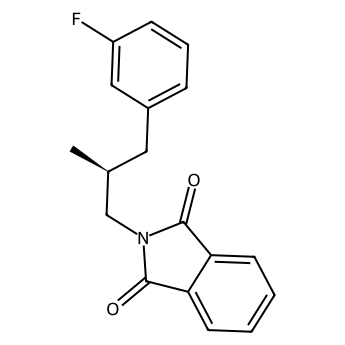 C[C@@H](Cc1cccc(F)c1)CN1C(=O)c2ccccc2C1=O